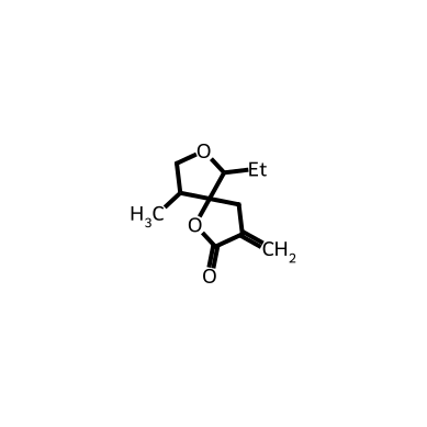 C=C1CC2(OC1=O)C(C)COC2CC